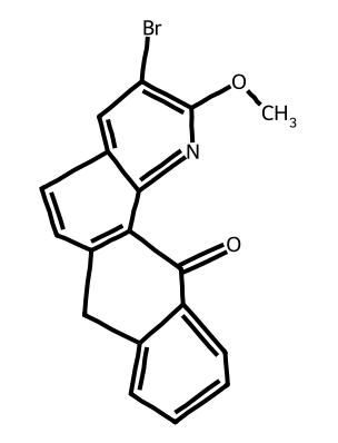 COc1nc2c3c(ccc2cc1Br)Cc1ccccc1C3=O